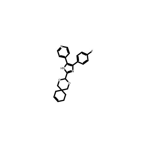 Fc1ccc(-c2nc(C3OCC4(CC=CCC4)CO3)[nH]c2-c2ccncc2)cc1